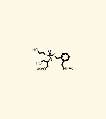 COCC(CO)OP(=O)(OCCO)SCc1ccccc1CNC(C)=O